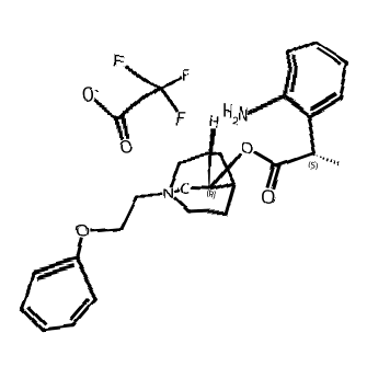 C[C@H](C(=O)O[C@H]1C[N+]2(CCOc3ccccc3)CCC1CC2)c1ccccc1N.O=C([O-])C(F)(F)F